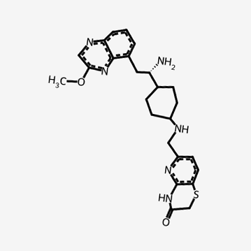 COc1cnc2cccc(C[C@H](N)C3CCC(NCc4ccc5c(n4)NC(=O)CS5)CC3)c2n1